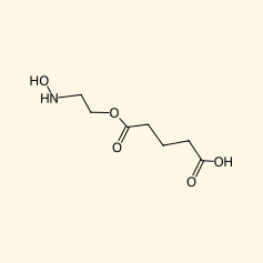 O=C(O)CCCC(=O)OCCNO